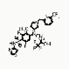 Cc1c(N(C)[C@H]2CCN(Cc3cccc(C(F)(F)F)n3)C2)cc(F)c(S(=O)(=O)Nc2cscn2)c1F.O=C(O)C(F)(F)F